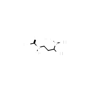 CC(=O)N(S)CCC(C)N(C)C